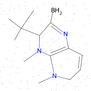 BC1=NC2=C(N(C)CC=C2)N(C)C1C(C)(C)C